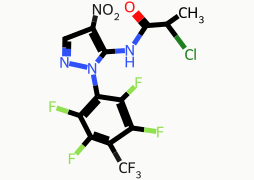 CC(Cl)C(=O)Nc1c([N+](=O)[O-])cnn1-c1c(F)c(F)c(C(F)(F)F)c(F)c1F